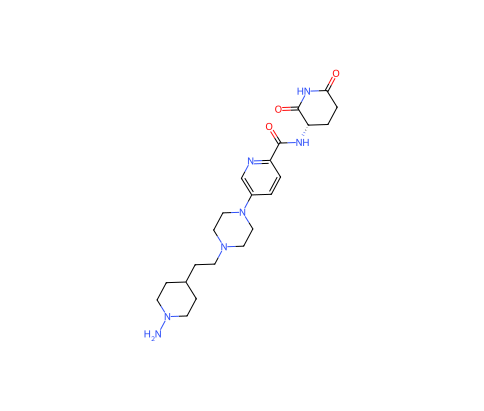 NN1CCC(CCN2CCN(c3ccc(C(=O)N[C@H]4CCC(=O)NC4=O)nc3)CC2)CC1